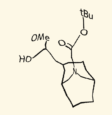 COC(O)C1CC2CCC1N2C(=O)OC(C)(C)C